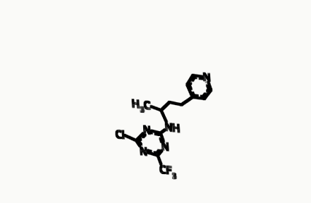 CC(CCc1ccncc1)Nc1nc(Cl)nc(C(F)(F)F)n1